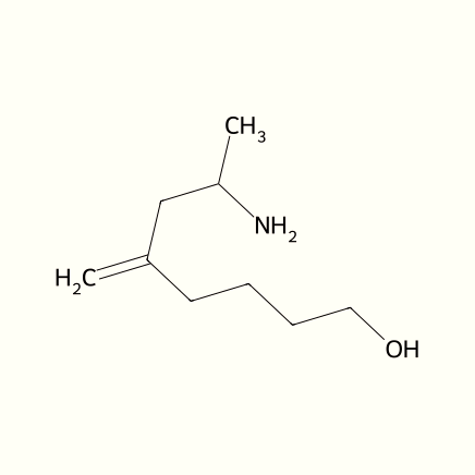 C=C(CCCCO)CC(C)N